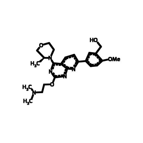 COc1ccc(-c2ccc3c(N4CCOC[C@@H]4C)nc(OCCN(C)C)nc3n2)cc1CO